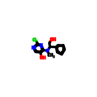 CN(c1nc(Cl)ncc1O)C(CO)c1ccccc1